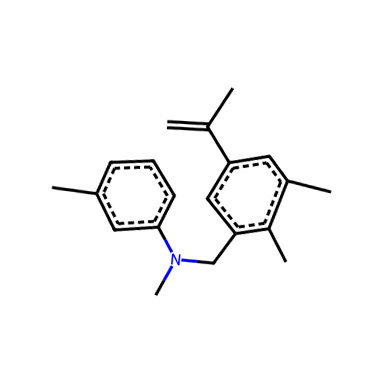 C=C(C)c1cc(C)c(C)c(CN(C)c2cccc(C)c2)c1